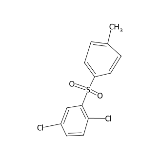 Cc1ccc(S(=O)(=O)c2cc(Cl)ccc2Cl)cc1